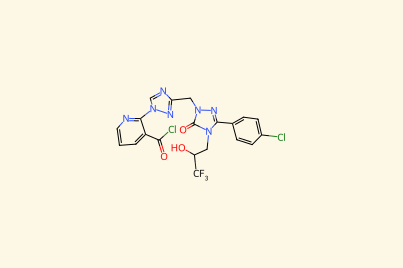 O=C(Cl)c1cccnc1-n1cnc(Cn2nc(-c3ccc(Cl)cc3)n(CC(O)C(F)(F)F)c2=O)n1